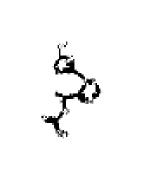 C[C@H](OC(N)=O)c1ncnn1-c1ncc(C#N)s1